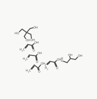 C=CC(=O)O.C=CC(=O)O.C=CC(=O)O.C=CC(=O)O.OCC(CO)(CO)CO.OCC(O)CO